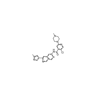 CN1CCN(c2cc(C(=O)Nc3cc4cc(-c5cnn(C)c5)ncc4cn3)c(Cl)cn2)CC1